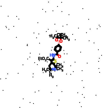 CCOC(=O)c1c(NC(=O)c2ccc(B3OC(C)(C)C(C)(C)O3)cc2)sc2c1CC(C)(C)NC2(C)C